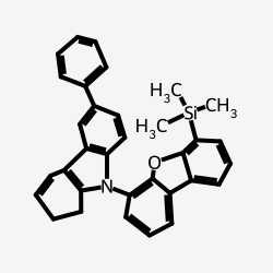 C[Si](C)(C)c1cccc2c1oc1c(-n3c4c(c5cc(-c6ccccc6)ccc53)C=CCC4)cccc12